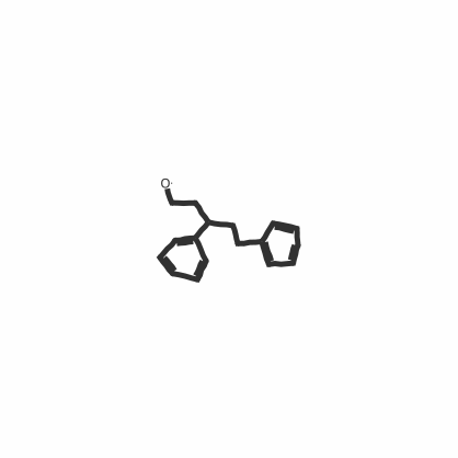 [O]CCC(CCc1ccccc1)c1ccccc1